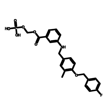 Cc1cc(CNc2cccc(C(=O)OCOP(=O)(O)O)c2)ccc1OCc1ccc(F)cc1